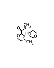 C1COCCN1.C=CC(=O)C1CN(C)CCO1